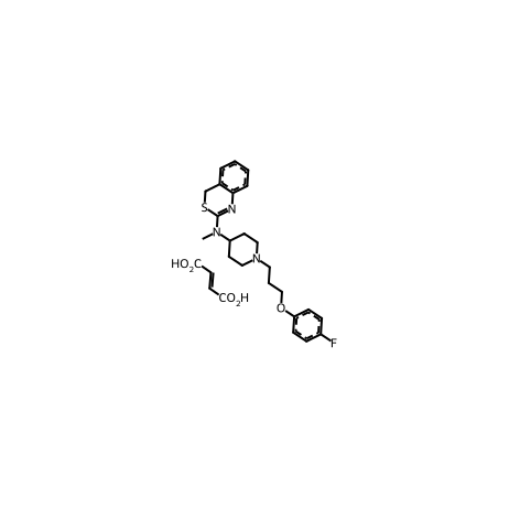 CN(C1=Nc2ccccc2CS1)C1CCN(CCCOc2ccc(F)cc2)CC1.O=C(O)/C=C/C(=O)O